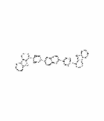 c1ccc2c(c1)oc1c(-c3ncc(-c4ccc5cc(-c6cnc(-c7cccc8c7oc7ccccc78)nc6)ccc5c4)cn3)cccc12